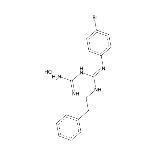 Cl.N=C(N)NC(=Nc1ccc(Br)cc1)NCCc1ccccc1